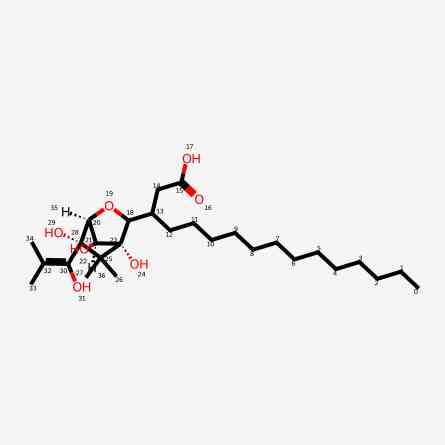 CCCCCCCCCCCCCC(CC(=O)O)C1O[C@H]2[C@H](O)[C@]1(O)C(C)(C)[C@@]2(O)C(O)=C(C)C